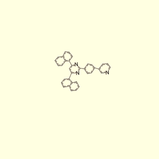 c1cncc(-c2ccc(-c3nc(-c4cccc5ccccc45)cc(-c4cccc5ccccc45)n3)cc2)c1